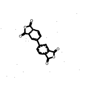 O=C1OC(=O)c2cc(C3=CC4C(=O)OC(=O)C4C=C3)ccc21